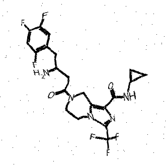 NC(CC(=O)N1CCn2c(C(F)(F)F)nc(C(=O)NC3CC3)c2C1)Cc1cc(F)c(F)cc1F